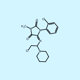 CN1C(=O)C(=NC(CCl)N2CCCCC2)N(c2ccccc2Cl)C1=O